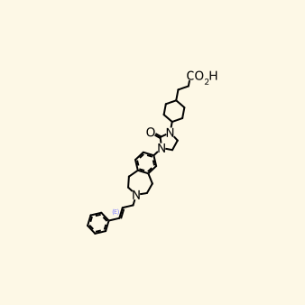 O=C(O)CCC1CCC(N2CCN(c3ccc4c(c3)CCN(C/C=C/c3ccccc3)CC4)C2=O)CC1